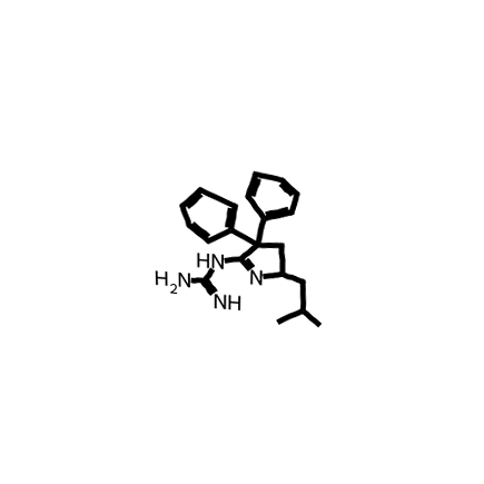 CC(C)CC1CC(c2ccccc2)(c2ccccc2)C(NC(=N)N)=N1